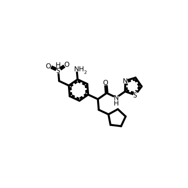 Nc1cc(C(CC2CCCC2)C(=O)Nc2nccs2)ccc1C[SH](=O)=O